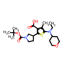 CCN(c1sc(C2CCN(C(=O)OC(C)(C)C)C2)c(C(=O)O)c1C)C1CCOCC1